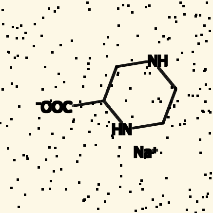 O=C([O-])C1CNCCN1.[Na+]